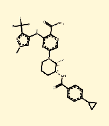 C[C@@H]1[C@H](NC(=O)c2ccc(C3CC3)cc2)CCCN1c1cnc(C(N)=O)c(Nc2cn(C)nc2C(F)(F)F)n1